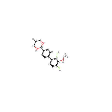 CC1COC(c2ccc(-c3ccc(F)c(OC(F)(F)F)c3F)cc2)OC1